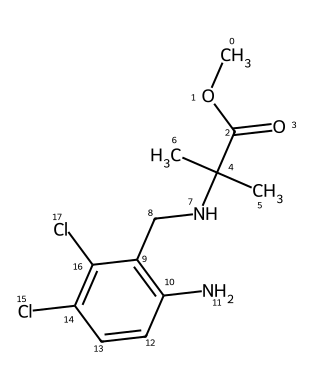 COC(=O)C(C)(C)NCc1c(N)ccc(Cl)c1Cl